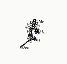 CCCCCCCCCCCCCCCCCCCC(=O)NC(Cc1c[nH]cn1)C(=O)NC/C(=C/NC/N=C(/CO)C1(O)Cc2c(O)c3c(c(O)c2C(OC2CC(N)C(O)C(C)O2)C1)C(=O)c1c(OC)cccc1C3=O)N=N